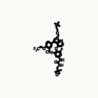 CC1(CNC(=O)Nc2cc(F)c(Oc3ccnc4c3c(-c3ccc(OCC(F)(F)F)c(C#N)c3)cn4COCC[Si](C)(C)C)c(F)c2)COC1